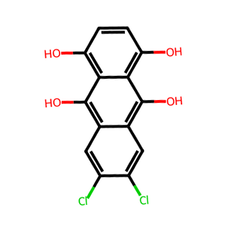 Oc1ccc(O)c2c(O)c3cc(Cl)c(Cl)cc3c(O)c12